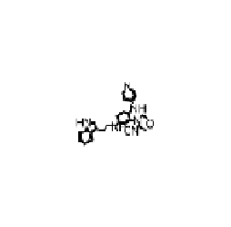 N#Cc1c(NCCc2c[nH]c3ccccc23)ccc(Nc2ccncc2)c1N1CCOCC1